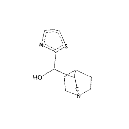 OC(c1nccs1)C1CN2CCC1CC2